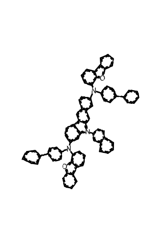 c1ccc(-c2ccc(N(c3ccc4cc5c6ccc(N(c7ccc(-c8ccccc8)cc7)c7cccc8c7oc7ccccc78)cc6n(-c6ccc7ccccc7c6)c5cc4c3)c3cccc4c3oc3ccccc34)cc2)cc1